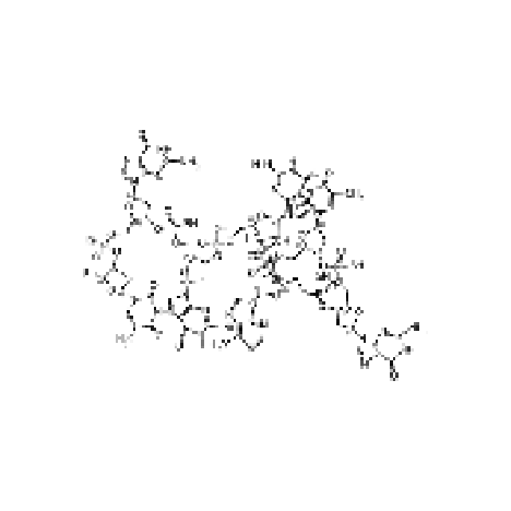 CC[C@H]1O[C@@H](n2cc(C)c(=O)[nH]c2=O)CC1OP(=O)(S)OC[C@H]1O[C@@H](n2cnc3c(=O)[nH]c(N)nc32)CC1OP(=O)(S)OC[C@H]1O[C@@H](n2cnc3c(=O)[nH]c(N)nc32)CC1OP(=O)(S)OC[C@H]1O[C@@H](n2cnc3c(=O)[nH]c(N)nc32)CC1OP(=O)(S)OC[C@H]1O[C@@H](n2cc(C)c(=O)[nH]c2=O)CC1OP(=O)(S)OC[C@H]1O[C@@H](n2cnc3c(=O)[nH]c(N)nc32)CC1OP(=O)(S)OC[C@H]1O[C@@H](n2cnc3c(N)ncnc32)CC1OP(=O)(O)S